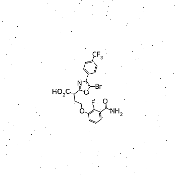 NC(=O)c1cccc(OCCC(C(=O)O)c2nc(-c3ccc(C(F)(F)F)cc3)c(Br)o2)c1F